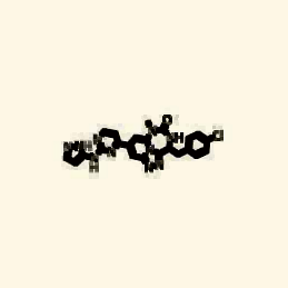 CN1C(=O)NC(Cc2ccc(Cl)cc2)c2nnc3cc(-c4ccnc(Nc5ccn[nH]5)n4)cc1n23